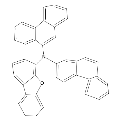 c1ccc2c(c1)ccc1cc(N(c3cc4ccccc4c4ccccc34)c3cccc4c3oc3ccccc34)ccc12